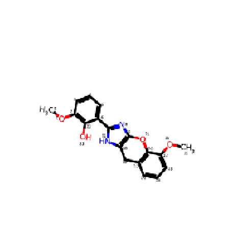 COc1cccc(-c2nc3c([nH]2)Cc2cccc(OC)c2O3)c1O